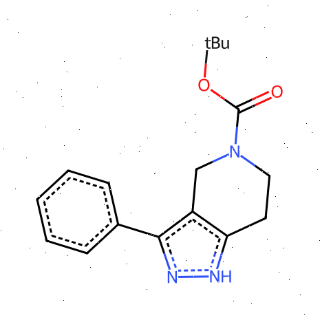 CC(C)(C)OC(=O)N1CCc2[nH]nc(-c3ccccc3)c2C1